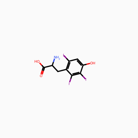 NC(Cc1c(I)cc(O)c(I)c1I)C(=O)O